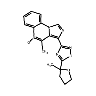 Cc1c2c(-c3noc(C4(C)CCCO4)n3)ncn2c2ccccc2[n+]1[O-]